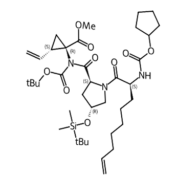 C=CCCCCC[C@H](NC(=O)OC1CCCC1)C(=O)N1C[C@H](O[Si](C)(C)C(C)(C)C)C[C@H]1C(=O)N(C(=O)OC(C)(C)C)[C@]1(C(=O)OC)C[C@H]1C=C